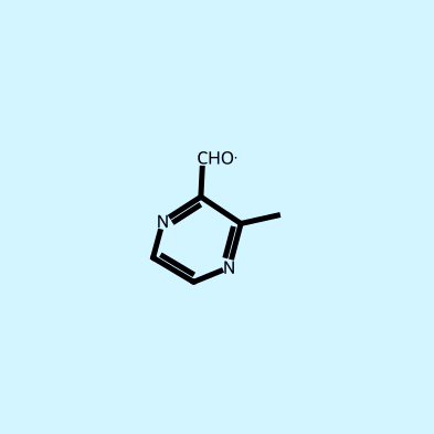 Cc1nccnc1[C]=O